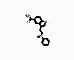 C=[N+](CCc1c[nH]c2ccc(C(N)=O)cc12)c1ccccc1